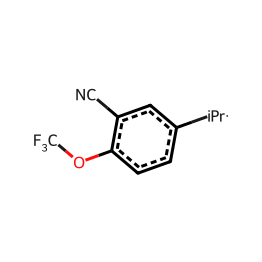 C[C](C)c1ccc(OC(F)(F)F)c(C#N)c1